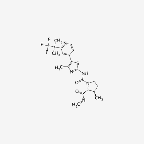 C=NC(=O)[C@@H]1[C@H](C)CCN1C(=O)Nc1nc(C)c(-c2ccnc(C(C)(C)C(F)(F)F)c2)s1